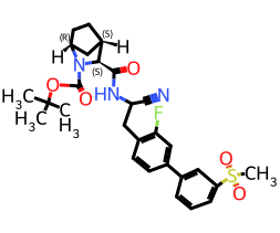 CC(C)(C)OC(=O)N1[C@@H]2CC[C@@H](C2)[C@H]1C(=O)NC(C#N)Cc1ccc(-c2cccc(S(C)(=O)=O)c2)cc1F